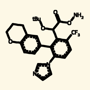 CC(C)(C)OC(C(=O)ON)c1c(C(F)(F)F)ccc(-n2ccnc2)c1-c1ccc2c(c1)CCCO2